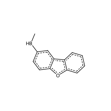 CBc1ccc2oc3ccccc3c2c1